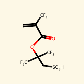 C=C(C(=O)OC(CS(=O)(=O)O)(C(F)(F)F)C(F)(F)F)C(F)(F)F